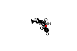 COc1ccc2c(c1)C(=O)N(C[C@@]1(c3cc4cnc(C5CC5)cc4o3)NC(=O)NC1=O)C2